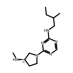 CCC(C)CNc1ncnc(N2CC[C@@H](NC)C2)n1